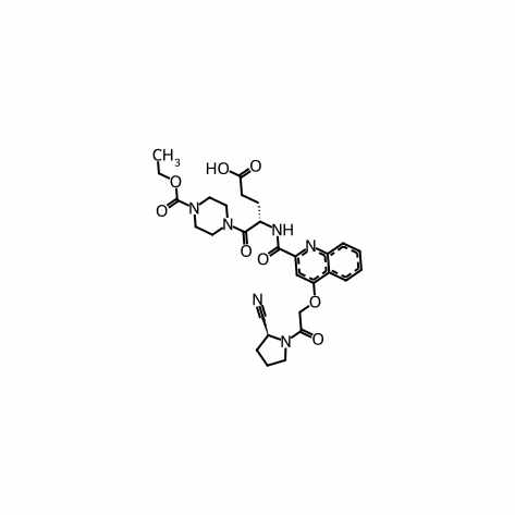 CCOC(=O)N1CCN(C(=O)[C@H](CCC(=O)O)NC(=O)c2cc(OCC(=O)N3CCC[C@H]3C#N)c3ccccc3n2)CC1